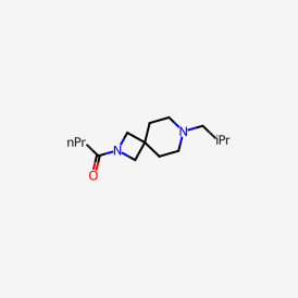 CCCC(=O)N1CC2(CCN(CC(C)C)CC2)C1